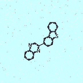 c1ccc2nc(-c3ccc4sc5ccccc5c4c3)cnc2c1